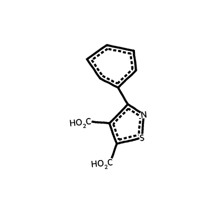 O=C(O)c1snc(-c2ccccc2)c1C(=O)O